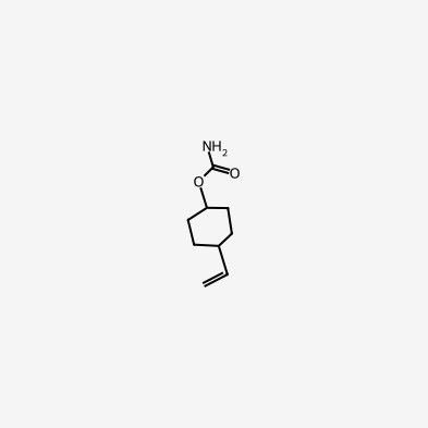 C=CC1CCC(OC(N)=O)CC1